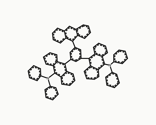 c1ccc(N(c2ccccc2)c2c3ccccc3c(-c3cc(-c4c5ccccc5cc5ccccc45)cc(-c4c5ccccc5c(N(c5ccccc5)c5ccccc5)c5ccccc45)c3)c3ccccc23)cc1